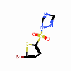 O=S(=O)(c1ccc(Br)s1)n1cncn1